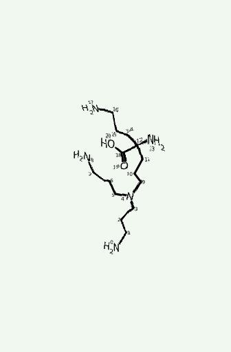 NCCCN(CCCN)CCC[C@@](N)(CCCN)C(=O)O